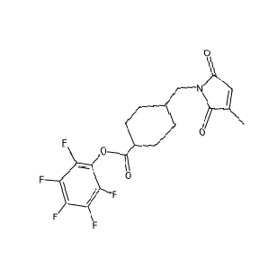 CC1=CC(=O)N(CC2CCC(C(=O)Oc3c(F)c(F)c(F)c(F)c3F)CC2)C1=O